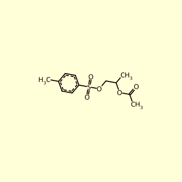 CC(=O)OC(C)COS(=O)(=O)c1ccc(C)cc1